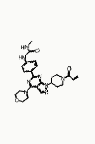 C=CC(=O)N1CCC(n2ncc3c(N4CCOCC4)nc(-c4ccc(NC(=O)NC)cc4)nc32)CC1